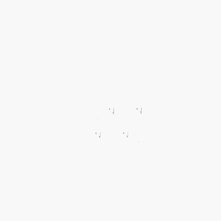 CCc1cccc(CC)c1N(C(=N)N)C(=S)NC1CC1